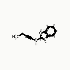 CCC#CNc1nc2ccccc2o1